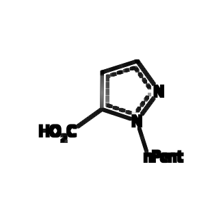 CCCCCn1nccc1C(=O)O